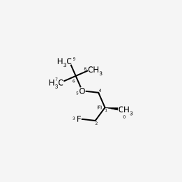 C[C@@H](CF)COC(C)(C)C